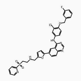 O=S(=O)(CCNCc1ccc(-c2ccc3ncnc(Nc4ccc(OCc5cccc(F)c5)c(Cl)c4)c3c2)o1)c1ccccn1